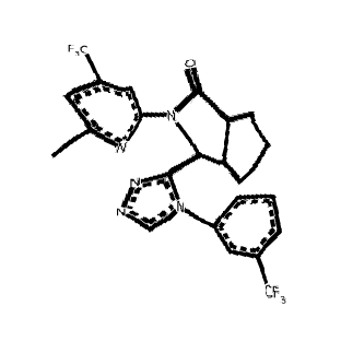 Cc1cc(C(F)(F)F)cc(N2C(=O)C3CCCC3C2c2nncn2-c2cccc(C(F)(F)F)c2)n1